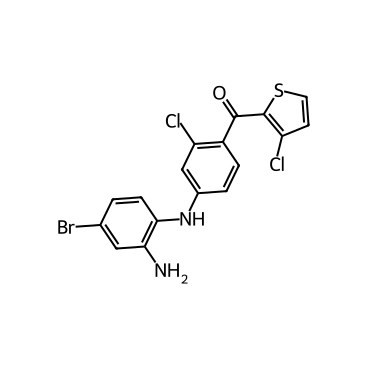 Nc1cc(Br)ccc1Nc1ccc(C(=O)c2sccc2Cl)c(Cl)c1